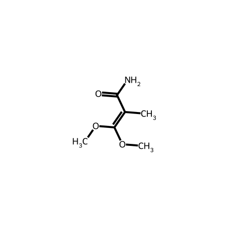 COC(OC)=C(C)C(N)=O